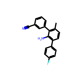 Cc1ccc(-c2ccc(F)cc2)c(N)c1-c1cccc(C#N)c1